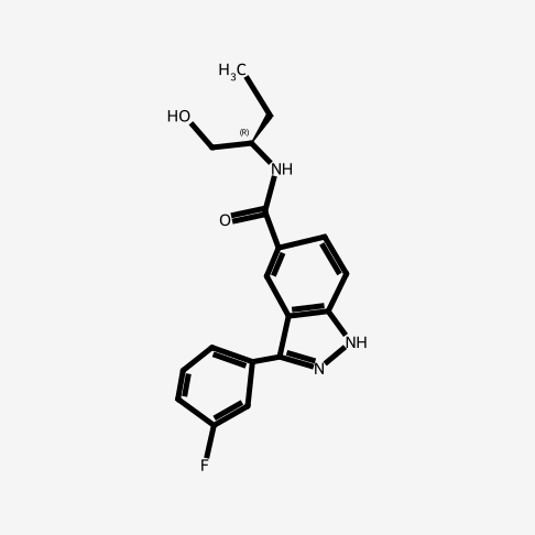 CC[C@H](CO)NC(=O)c1ccc2[nH]nc(-c3cccc(F)c3)c2c1